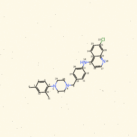 Cc1ccc(N2CCN(Cc3ccc(Nc4ccnc5cc(Cl)ccc45)cc3)CC2)c(C)c1